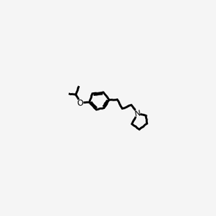 CC(C)Oc1ccc(CCCN2CCCC2)cc1